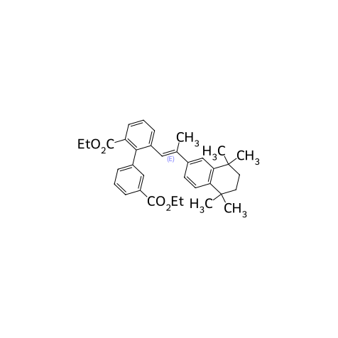 CCOC(=O)c1cccc(-c2c(/C=C(\C)c3ccc4c(c3)C(C)(C)CCC4(C)C)cccc2C(=O)OCC)c1